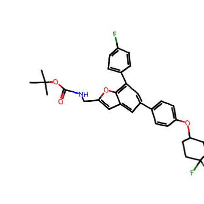 CC(C)(C)OC(=O)NCc1cc2cc(-c3ccc(OC4CCC(F)(F)CC4)cc3)cc(-c3ccc(F)cc3)c2o1